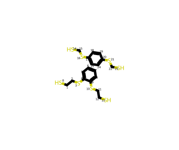 SCCSc1ccccc1SCCS.SCSc1ccc(SCS)cc1